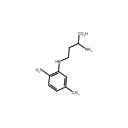 Cc1ccc([N+](=O)[O-])c(NCCC(N)C(=O)O)c1